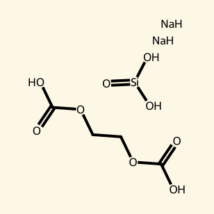 O=C(O)OCCOC(=O)O.O=[Si](O)O.[NaH].[NaH]